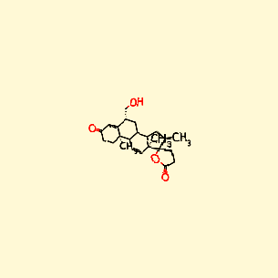 CC1CC2C3C[C@@H](CO)C4=CC(=O)CC[C@]4(C)C3C=C[C@]2(C)[C@]12CCC(=O)O2